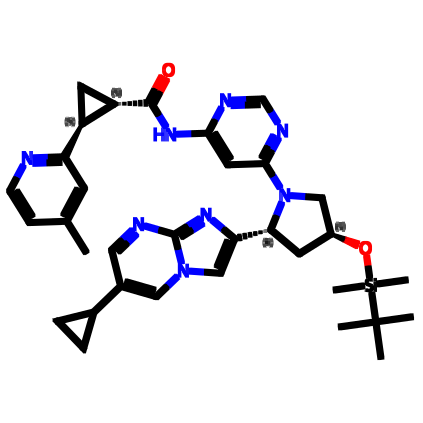 Cc1ccnc([C@H]2C[C@@H]2C(=O)Nc2cc(N3C[C@@H](O[Si](C)(C)C(C)(C)C)C[C@@H]3c3cn4cc(C5CC5)cnc4n3)ncn2)c1